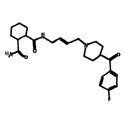 NC(=O)C1CCCCC1C(=O)NC/C=C/CN1CCC(C(=O)c2ccc(F)cc2)CC1